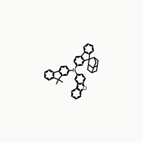 CC1(C)c2ccccc2-c2ccc(N(c3ccc4c(c3)C3(c5ccccc5-4)C4CC5CC(C4)CC3C5)c3ccc4oc5ccccc5c4c3)cc21